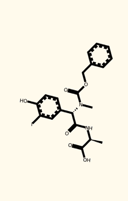 C[C@H](NC(=O)[C@H](c1ccc(O)c(I)c1)N(C)C(=O)OCc1ccccc1)C(=O)O